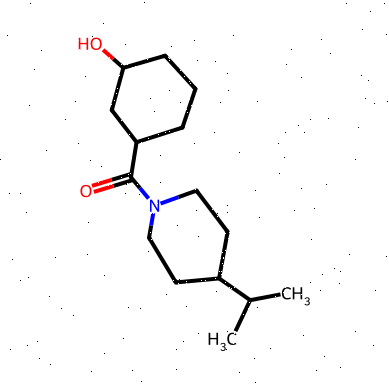 CC(C)C1CCN(C(=O)C2CCCC(O)C2)CC1